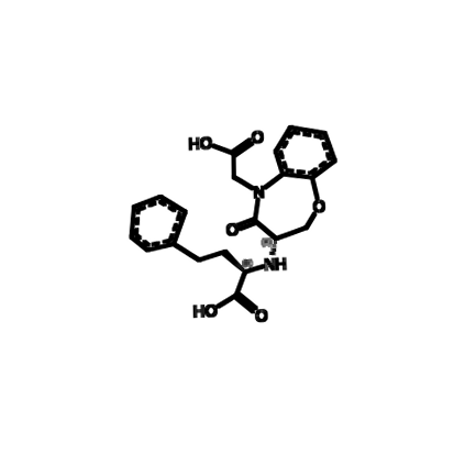 O=C(O)CN1C(=O)[C@@H](N[C@H](CCc2ccccc2)C(=O)O)COc2ccccc21